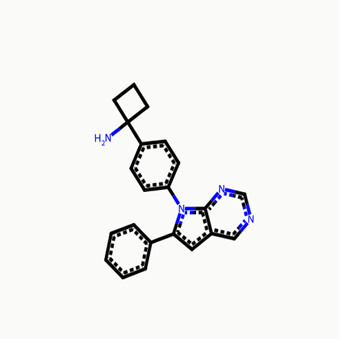 NC1(c2ccc(-n3c(-c4ccccc4)cc4cncnc43)cc2)CCC1